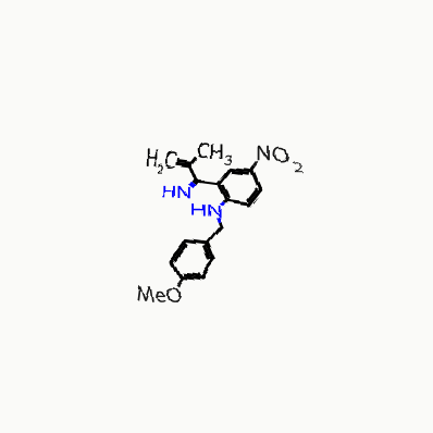 C=C(C)C(=N)c1cc([N+](=O)[O-])ccc1NCc1ccc(OC)cc1